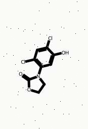 O=C1OCCN1c1cc(O)c(Cl)cc1Cl